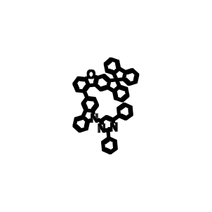 c1ccc(-c2cc(-n3c4ccccc4c4cc(-c5cccc6oc7cc8c(cc7c56)-c5ccccc5C85c6ccccc6-c6ccccc65)ccc43)nc(-c3ccccc3)n2)cc1